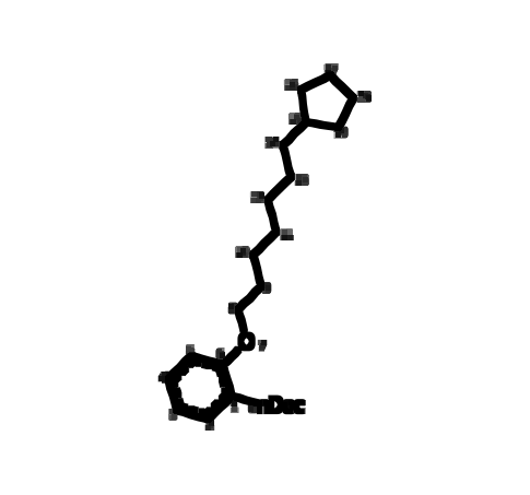 CCCCCCCCCCc1cc[c]cc1OCCCCCCCC1CCCC1